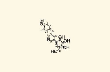 CCOc1ccc(Cc2cncc([C@@H]3S[C@H](CO)[C@@H](O)[C@H](O)[C@H]3O)c2)cc1